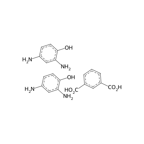 Nc1ccc(O)c(N)c1.Nc1ccc(O)c(N)c1.O=C(O)c1cccc(C(=O)O)c1